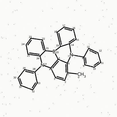 Cc1ccc2c3c1N(c1ccccc1)c1ccccc1B3c1ccccc1N2c1ccccc1